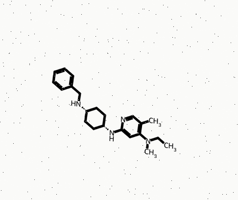 CCN(C)c1cc(N[C@H]2CC[C@@H](NCc3ccccc3)CC2)ncc1C